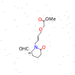 COC(=O)COCC=CCN1C(=O)CCC[C@@H]1C=O